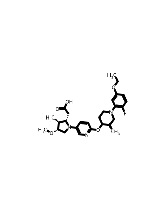 CCOc1ccc(F)c(N2CCC(Oc3ccc(N4C[C@H](OC)[C@@H](C)[C@@H]4CC(=O)O)cn3)C(C)C2)c1